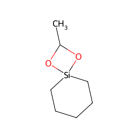 CC1O[Si]2(CCCCC2)O1